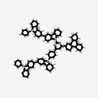 c1ccc(-n2c3ccccc3c3cc(-c4ccc5c(c4)c4ccccc4n5-c4ccc(-c5cc(-c6ccc7c8ccccc8c8ccccc8c7c6)nc(-n6c7ccccc7c7cc(-c8ccc9c(c8)c8ccccc8n9-c8ccccc8)ccc76)n5)cc4)ccc32)cc1